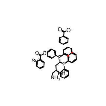 NCC(N)CC(P(c1ccccc1)c1ccccc1)P(c1ccccc1)c1ccccc1.O=C([O-])c1ccccc1.O=C([O-])c1ccccc1.[Ru+2]